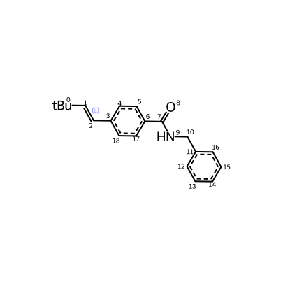 CC(C)(C)/C=C/c1ccc(C(=O)NCc2ccccc2)cc1